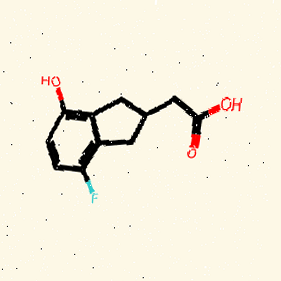 O=C(O)CC1Cc2c(O)ccc(F)c2C1